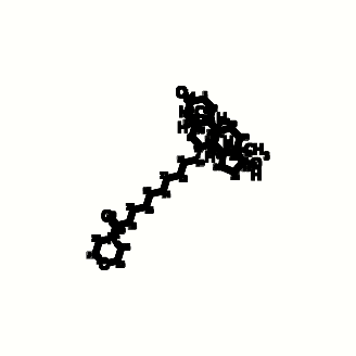 C[C@]12CCC(=O)C[C@@H]1C[C@@H](CCCCCCCCCC(=O)N1CCOCC1)[C@@H]1[C@@H]2CC[C@]2(C)[C@@H](O)CC[C@@H]12